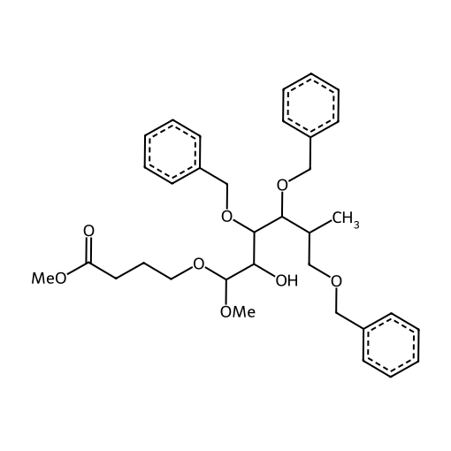 COC(=O)CCCOC(OC)C(O)C(OCc1ccccc1)C(OCc1ccccc1)C(C)COCc1ccccc1